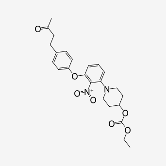 CCOC(=O)OC1CCN(c2cccc(Oc3ccc(CCC(C)=O)cc3)c2[N+](=O)[O-])CC1